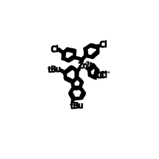 CC(C)(C)c1ccc2c(c1)-c1cc(C(C)(C)C)c[c]([Zr+2]([C]3=CC=CC3)=[C](c3ccc(Cl)cc3)c3ccc(Cl)cc3)c1C2.[Cl-].[Cl-]